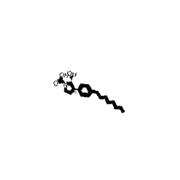 CCCCCCCCc1ccc([C@H]2CCN(C(=O)O)[C@@H]2CO)cc1